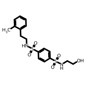 Cc1ccccc1CCNS(=O)(=O)c1ccc(S(=O)(=O)NCCO)cc1